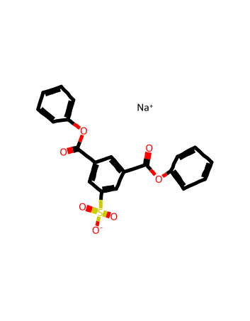 O=C(Oc1ccccc1)c1cc(C(=O)Oc2ccccc2)cc(S(=O)(=O)[O-])c1.[Na+]